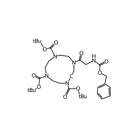 CC(C)(C)OC(=O)N1CCN(C(=O)CNC(=O)OCc2ccccc2)CCN(C(=O)OC(C)(C)C)CCN(C(=O)OC(C)(C)C)CC1